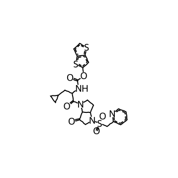 O=C(NC(CC1CC1)C(=O)N1CCC2C1C(=O)CN2S(=O)(=O)Cc1ccccn1)Oc1cc2sccc2s1